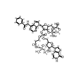 CC(C)(C)[Si](C)(C)O[C@@H]1C(COP(=O)(OCCC#N)O[C@H]2C(n3cnc4c(NC(=O)c5ccccc5)ncnc43)OC(CO[PH](=O)O)[C@H]2O[Si](C)(C)C(C)(C)C)OC(n2cnc3c(=O)[nH]cnc32)[C@@H]1O